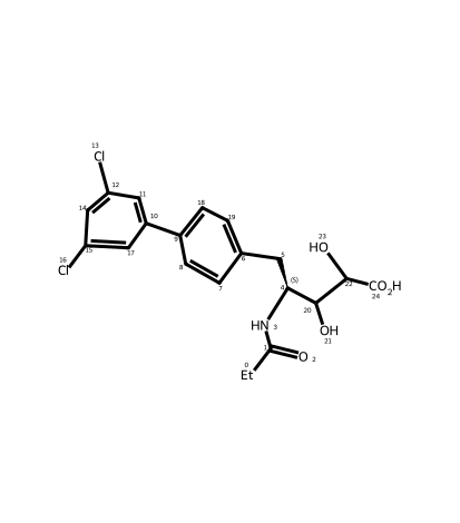 CCC(=O)N[C@@H](Cc1ccc(-c2cc(Cl)cc(Cl)c2)cc1)C(O)C(O)C(=O)O